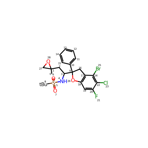 CC1(CC(NS(=O)(=O)C(C)(C)C)C2(c3ccccc3)Cc3c(cc(F)c(Cl)c3Br)O2)CO1